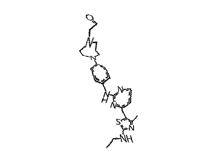 CCNc1nc(C)c(-c2ccnc(Nc3ccc(N4CCN(CC=O)CC4)cc3)n2)s1